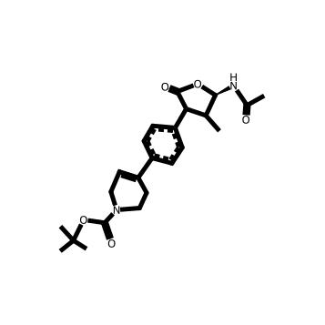 CC(=O)N[C@@H]1OC(=O)C(c2ccc(C3=CCN(C(=O)OC(C)(C)C)CC3)cc2)C1C